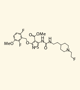 COC(=O)c1c(OCc2c(F)ccc(OC)c2F)nsc1NC(=O)NCCC1CCN(CCF)CC1